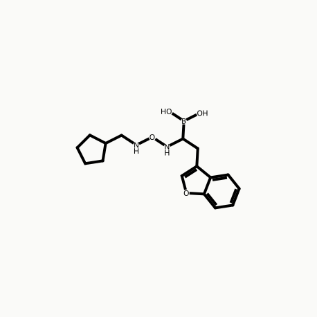 OB(O)C(Cc1coc2ccccc12)NONCC1CCCC1